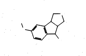 CC1c2ccc(OC(F)(F)F)cc2C2CNCC12